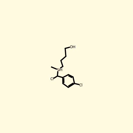 C[SiH](CCCCO)C(Cl)c1ccc(Cl)cc1